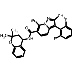 Cc1nn2c(C(C)C)c(C(=O)NC3CC(C)(C)Oc4ccccc43)ccc2c1-c1c(F)cccc1F